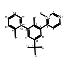 Cc1c(-c2ccnc[n+]2C)cc(C(C)(C)C)cc1-[n+]1ccccc1C